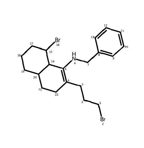 BrCCCC1=C(NCc2ccccc2)C2C(Br)CCCC2CC1